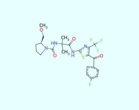 COC[C@@H]1CCCN1C(=O)NC(C)(C)C(=O)Nc1nc(C(F)(F)F)c(C(=O)c2ccc(F)cc2)s1